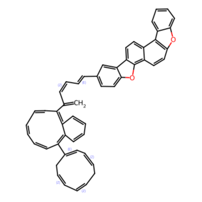 C=C(/C=C\C=C\c1ccc2oc3c(ccc4c3ccc3oc5ccccc5c34)c2c1)c1ccccccc(/C2=C/C=C\C/C=C\C=C/C2)c2ccccc12